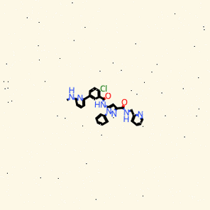 CNc1cccc(-c2ccc(Cl)c(C(=O)Nc3cc(C(=O)NCc4ccccn4)nn3-c3ccccc3)c2)n1